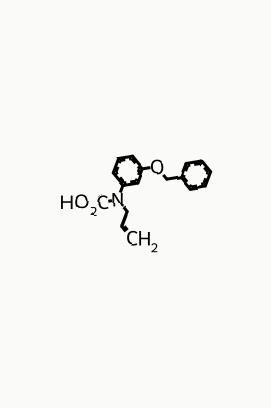 C=CCN(C(=O)O)c1cccc(OCc2ccccc2)c1